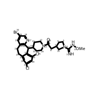 CONC(=N)N1CCC(CC(=O)N2CCC(C3c4ncc(Br)cc4CCc4cc(Cl)cc(Cl)c43)CC2)C1